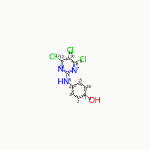 Oc1ccc(Nc2nc(Cl)c(Cl)c(Cl)n2)cc1